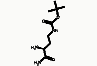 CC(C)(C)OC(=O)NCC[C@H](N)C(N)=O